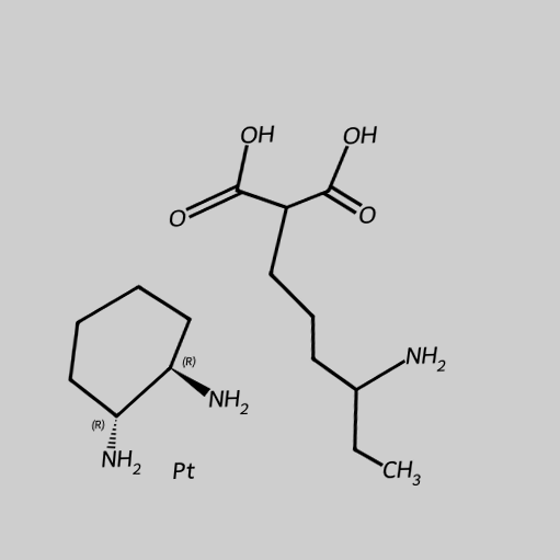 CCC(N)CCCC(C(=O)O)C(=O)O.N[C@@H]1CCCC[C@H]1N.[Pt]